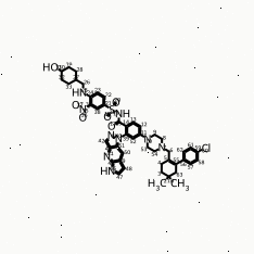 CC1(C)CCC(CN2CCN(c3ccc(C(=O)NS(=O)(=O)c4ccc(NCC5CCC(O)CC5)c([N+](=O)[O-])c4)c(-n4ncc5nc6[nH]ccc6cc54)c3)CC2)=C(c2ccc(Cl)cc2)C1